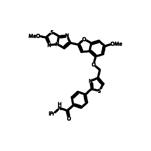 COc1cc(OCc2csc(-c3ccc(C(=O)NC(C)C)cc3)n2)c2cc(-c3cn4nc(OC)sc4n3)oc2c1